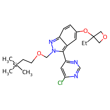 CCC1(Oc2ccc3nn(COCC[Si](C)(C)C)c(-c4cc(Cl)ncn4)c3c2)COC1